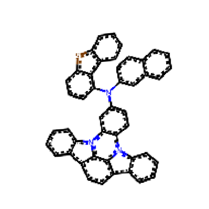 c1ccc2cc(N(c3ccc4c(c3)n3c5ccccc5c5ccc6c7ccccc7n4c6c53)c3cccc4sc5ccccc5c34)ccc2c1